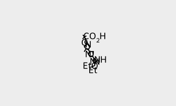 CCC(CC)Oc1n[nH]c(-c2ccc(-c3cnc(OCC(C)(C)C(=O)O)cc3C)nc2)n1